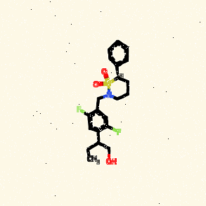 CCC(CO)c1cc(F)c(CN2CCC[C@H](c3ccccc3)S2(=O)=O)cc1F